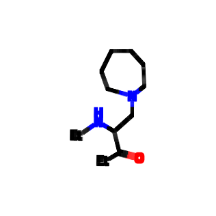 CCNC(CN1CCCCCC1)C(=O)CC